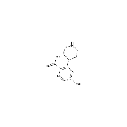 CCCCc1cnc(C(N)=O)c(N2CCNCC2)n1